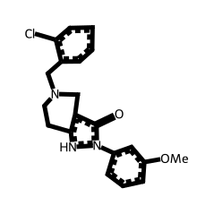 COc1cccc(-n2[nH]c3c(c2=O)CN(Cc2ccccc2Cl)CC3)c1